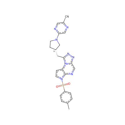 Cc1ccc(S(=O)(=O)n2ccc3c2ncc2nnc(C[C@@H]4CCN(c5cnc(C#N)cn5)C4)n23)cc1